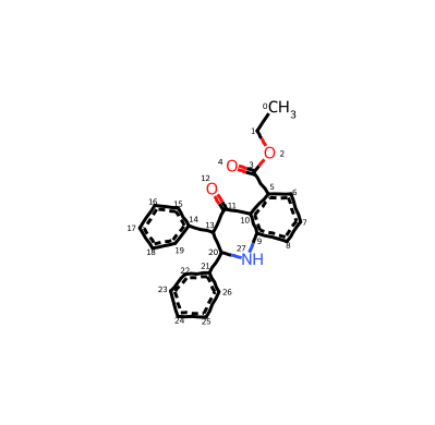 CCOC(=O)c1cccc2c1C(=O)C(c1ccccc1)C(c1ccccc1)N2